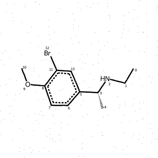 CCN[C@H](C)c1ccc(OC)c(Br)c1